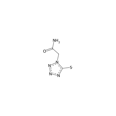 NC(=O)Cn1nnnc1[S]